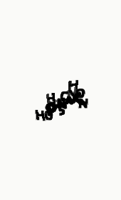 Cc1[nH]c(=O)c(C#N)cc1-c1csc(-c2cccc(O)c2)n1